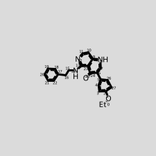 CCOc1ccc(-c2c[nH]c3ccnc(NCCc4ccccc4)c3c2=O)cc1